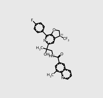 Cc1cc(C(=O)NCC(C)(O)c2cc3c(c(-c4ccc(F)cc4)n2)OC[C@H]3C(F)(F)F)cc2cccnc12